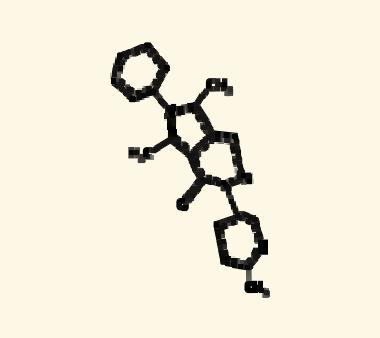 Cc1ccc(-n2ncc3c(C)n(-c4ccccc4)c(C)c3c2=O)cn1